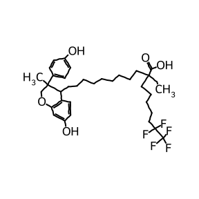 CCC(CCCCCCCCCC1c2ccc(O)cc2OCC1(C)c1ccc(O)cc1)(CCCCCC(F)(F)C(F)(F)F)C(=O)O